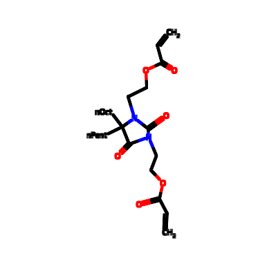 C=CC(=O)OCCN1C(=O)N(CCOC(=O)C=C)C(CCCCC)(CCCCCCCC)C1=O